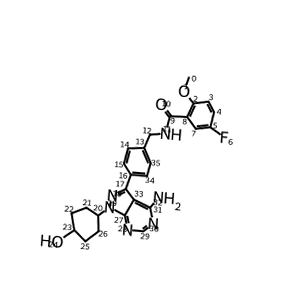 COc1ccc(F)cc1C(=O)NCc1ccc(-c2nn(C3CCC(O)CC3)c3ncnc(N)c23)cc1